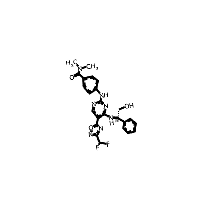 CN(C)C(=O)c1ccc(Nc2ncc(-c3nc(C(F)F)no3)c(N[C@H](CO)c3ccccc3)n2)cc1